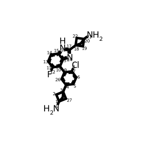 NC12CC(c3ccc(Cl)c(-c4c(F)ccc5[nH]c(C67CC(N)(C6)C7)nc45)c3)(C1)C2